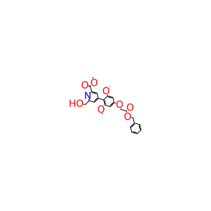 COC(=O)c1cc(-c2c(OC)cc(OCC(=O)OCc3ccccc3)cc2OC)cc(CO)n1